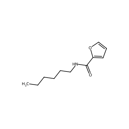 CCCCCCNC(=O)c1ccco1